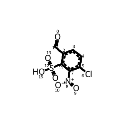 O=Cc1ccc(Cl)c([N+](=O)[O-])c1S(=O)(=O)O